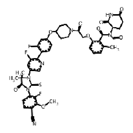 COc1c(C#N)ccc(N2C(=O)C(C)(C)N(c3cnc(-c4ccc(OC5CCN(C(=O)COc6cccc(C)c6C(=O)N(C=O)C6CCC(=O)NC6=O)CC5)cc4F)c(F)c3)C2=S)c1F